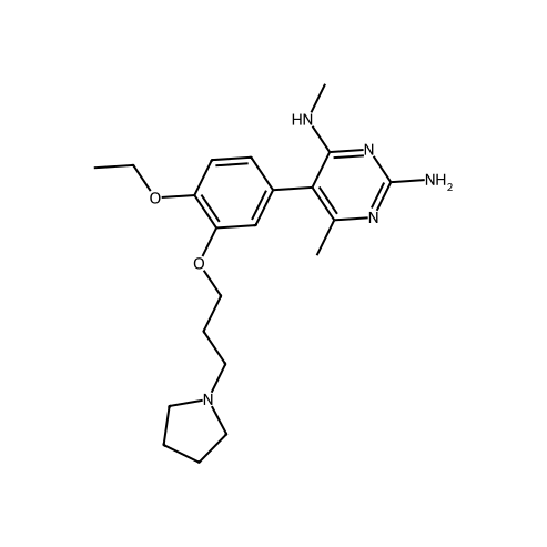 CCOc1ccc(-c2c(C)nc(N)nc2NC)cc1OCCCN1CCCC1